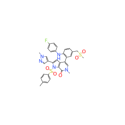 Cc1ccc(S(=O)(=O)n2c(-c3cnn(C)c3)cc3c(-c4cc(CS(C)(=O)=O)ccc4Nc4ccc(F)cc4)cn(C)c(=O)c32)cc1